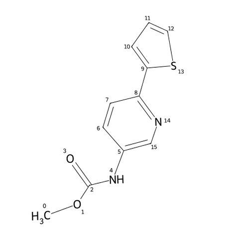 COC(=O)Nc1ccc(-c2cccs2)nc1